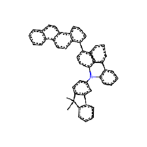 CC1(C)c2ccccc2-c2cc(N(c3ccc(-c4cccc5c4ccc4c6ccccc6ccc54)cc3)c3ccccc3-c3ccccc3)ccc21